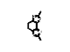 Cc1nc2c(s1)CCc1nc(C)sc1-2